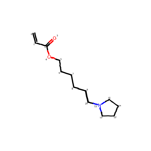 C=CC(=O)OCCCCCCN1CCCC1